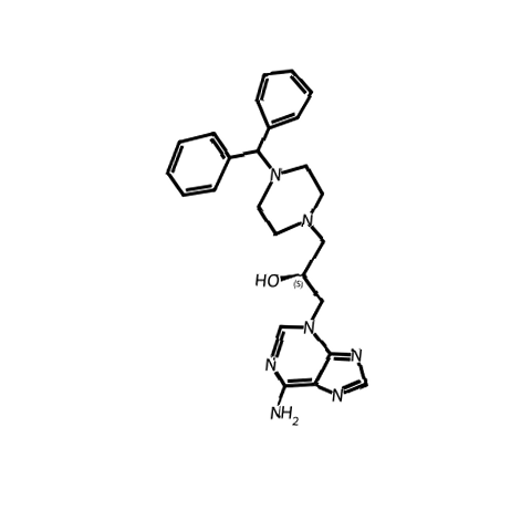 Nc1ncn(C[C@@H](O)CN2CCN(C(c3ccccc3)c3ccccc3)CC2)c2ncnc1-2